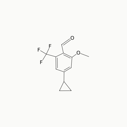 COc1cc(C2CC2)cc(C(F)(F)F)c1C=O